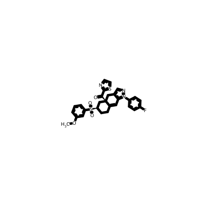 COc1cccc(S(=O)(=O)[C@@H]2CCC3=Cc4c(cnn4-c4ccc(F)cc4)C[C@@]3(C(=O)c3nccs3)C2)c1